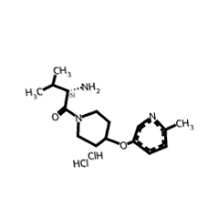 Cc1ccc(OC2CCN(C(=O)[C@@H](N)C(C)C)CC2)cn1.Cl.Cl